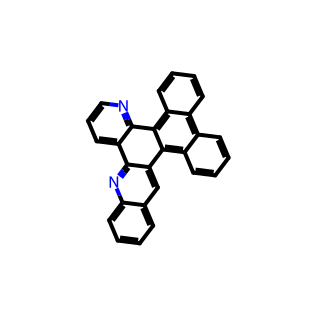 c1ccc2nc3c4cccnc4c4c5ccccc5c5ccccc5c4c3cc2c1